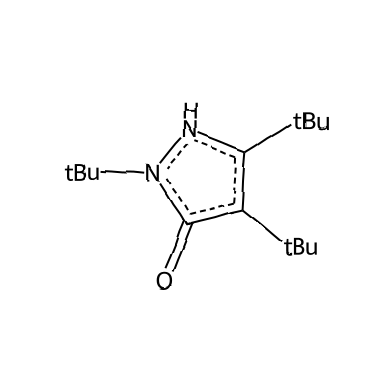 CC(C)(C)c1[nH]n(C(C)(C)C)c(=O)c1C(C)(C)C